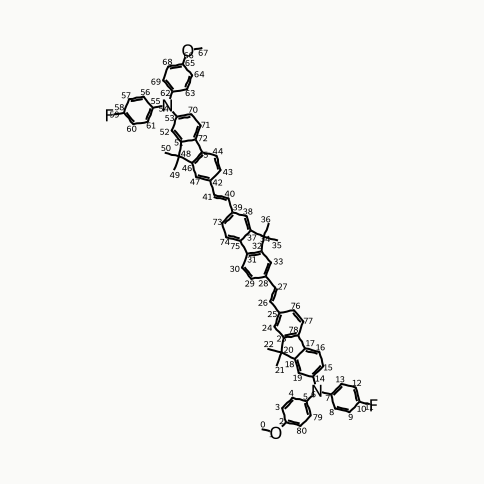 COc1ccc(N(c2ccc(F)cc2)c2ccc3c(c2)C(C)(C)c2cc(/C=C/c4ccc5c(c4)C(C)(C)c4cc(/C=C/c6ccc7c(c6)C(C)(C)c6cc(N(c8ccc(F)cc8)c8ccc(OC)cc8)ccc6-7)ccc4-5)ccc2-3)cc1